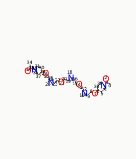 CC(=O)N1CCC(OCCN(C)CCOCCN(C)CCOCCN(C)CCOC2CCN(C(C)=O)CC2)CC1